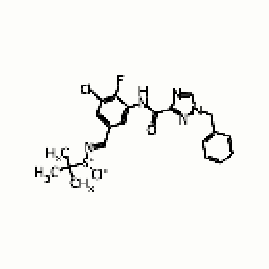 CC(C)(C)[S@@+]([O-])/N=C/c1cc(Cl)c(F)c(NC(=O)c2ncn(Cc3ccccc3)n2)c1